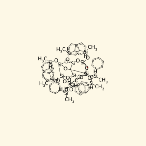 C[SiH](O[Si]12C[Si]3(O[SiH](C)c4ccccc4)O[Si]4(O[SiH](C)c5ccccc5)C[Si]5(O[SiH](C)c6ccccc6)O[Si](O[SiH](C)c6ccccc6)(C[Si](O[SiH](C)c6ccccc6)(O1)O4)O[Si](O[SiH](C)c1ccccc1)(C[Si](O[SiH](C)c1ccccc1)(O3)O5)O2)c1ccccc1